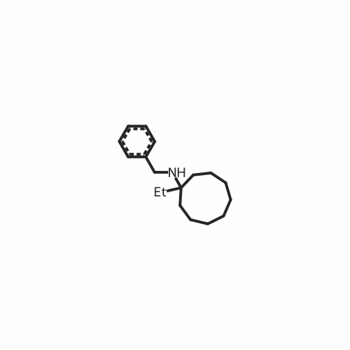 CCC1(NCc2ccccc2)CCCCCCCC1